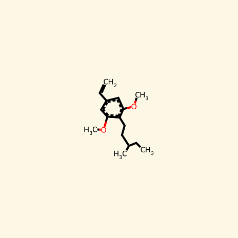 C=Cc1cc(OC)c(CCC(C)CC)c(OC)c1